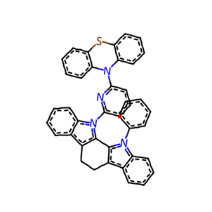 c1ccc(-n2c3c(c4ccccc42)CCc2c-3n(-c3cccc(N4c5ccccc5Sc5ccccc54)n3)c3ccccc23)cc1